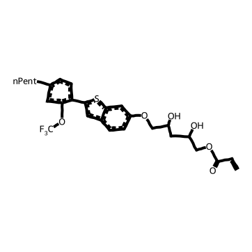 C=CC(=O)OCC(O)CC(O)COc1ccc2cc(-c3ccc(CCCCC)cc3OC(F)(F)F)sc2c1